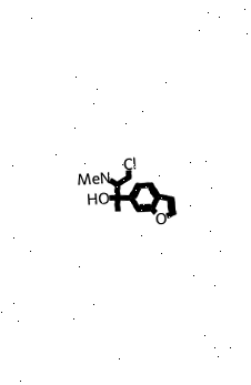 CNC(CCl)C(C)(O)c1ccc2ccoc2c1